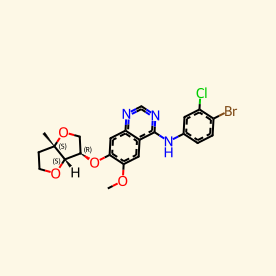 COc1cc2c(Nc3ccc(Br)c(Cl)c3)ncnc2cc1O[C@@H]1CO[C@@]2(C)CCO[C@@H]12